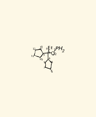 CCC(OP)(C1CCCC1)C1CCCC1